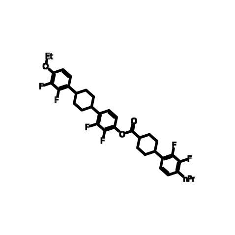 CCCc1ccc(C2CCC(C(=O)Oc3ccc(C4CCC(c5ccc(OCC)c(F)c5F)CC4)c(F)c3F)CC2)c(F)c1F